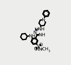 CNS(=O)(=O)c1ccc(NC2CCCCC2)c(C(=N)/N=N\NC2CCN(c3ccccc3)CC2)c1